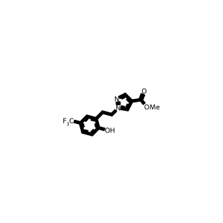 COC(=O)c1cnn(CCc2cc(C(F)(F)F)ccc2O)c1